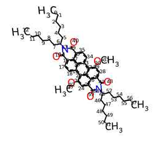 CCCCCCC(CCCCCC)N1C(=O)c2ccc3c4c(OC)cc5c6c(cc(OC)c(c7ccc(c2c37)C1=O)c64)C(=O)N(C(CCCCCC)CCCCCC)C5=O